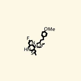 COc1ccc(CCC2CN(C3=c4ncc(F)cc4=CNc4sc(C)cc43)CCN2C)cc1